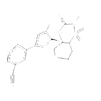 CN1C(=N)N[C@@]2(c3sc(-c4cncc(C#N)c4)cc3Cl)COCCC2S1(=O)=O